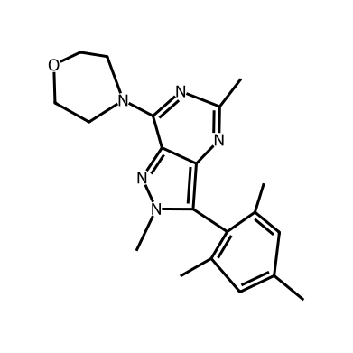 Cc1cc(C)c(-c2c3nc(C)nc(N4CCOCC4)c3nn2C)c(C)c1